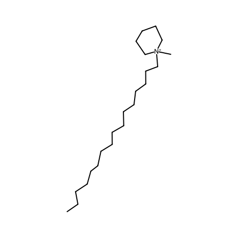 CCCCCCCCCCCCCCCC[N+]1(C)CCCCC1